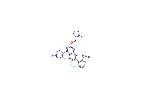 COc1cccc(F)c1-c1nc2nc(OCC3CCCN3C)nc(N3CCNCC3C)c2cc1F